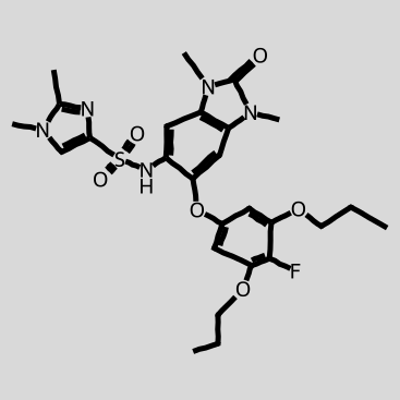 CCCOc1cc(Oc2cc3c(cc2NS(=O)(=O)c2cn(C)c(C)n2)n(C)c(=O)n3C)cc(OCCC)c1F